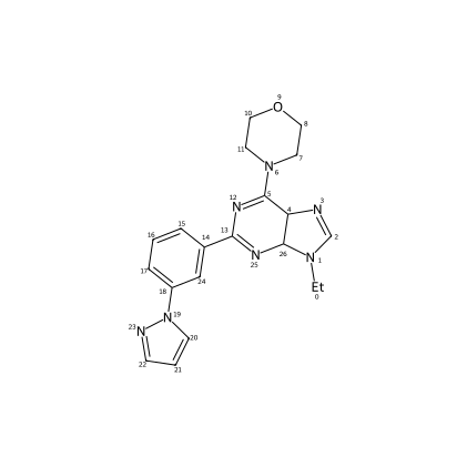 CCN1C=NC2C(N3CCOCC3)=NC(c3cccc(-n4cccn4)c3)=NC21